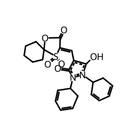 O=C1OC2(CCCCC2)S(=O)(=O)C1=Cc1c(O)n(C2C=CC=CC2)n(C2C=CC=CC2)c1=O